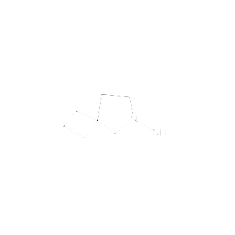 NN1CCC2(CCC2)C1